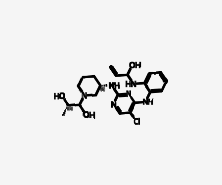 C=CC(O)Nc1ccccc1Nc1nc(N[C@H]2CCCN(C(O)[C@H](C)O)C2)ncc1Cl